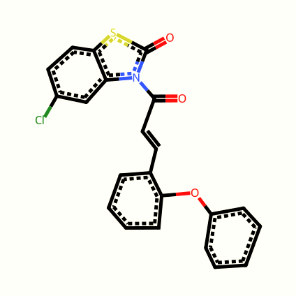 O=C(C=Cc1ccccc1Oc1ccccc1)n1c(=O)sc2ccc(Cl)cc21